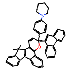 CC1(C)c2ccccc2-c2c1c1c(c3ccccc23)OC(c2ccc(N3CCCCC3)cc2)(c2cc3ccccc3c3ccccc23)C=C1